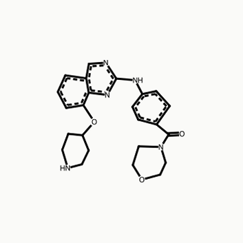 O=C(c1ccc(Nc2ncc3cccc(OC4CCNCC4)c3n2)cc1)N1CCOCC1